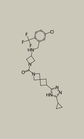 O=C(N1CC(NCc2cc(Cl)ccc2C(F)(F)F)C1)N1CC2(CC(c3nnc(C4CC4)[nH]3)C2)C1